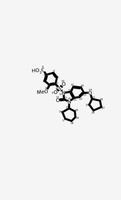 COc1cc(C(=O)O)ccc1S(=O)(=O)n1c(=O)n(C2CCCCC2)c2cc(OC3CCCC3)ccc21